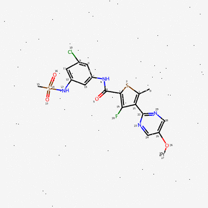 Cc1sc(C(=O)Nc2cc(Cl)cc(NS(C)(=O)=O)c2)c(F)c1-c1ncc(OC(C)C)cn1